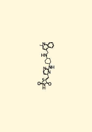 Cc1cc(CNC2CCC(Nc3nccc(/C=C4\SC(=O)NC4=O)n3)CC2)c2ccccc2n1